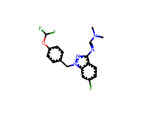 CN(C)C=Nc1nn(Cc2ccc(OC(F)F)cc2)c2cc(F)ccc12